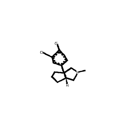 CN1C[C@@H]2CCCC2(c2ccc(Cl)c(Cl)c2)C1